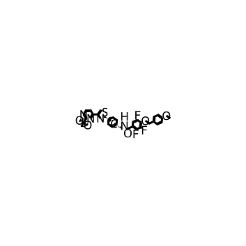 COc1ccc(COc2c(F)cc(C(=O)NC[C@]34CC[C@](c5nc(-c6ccnc(S(C)(=O)=O)n6)cs5)(CC3)CC4)c(F)c2F)cc1